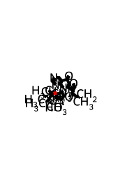 C=C(C)[C@@H](O)c1coc(C(=O)c2cncnc2N[C@@H]2C[C@H](CO)[C@@H](O[Si](C(C)C)(C(C)C)C(C)C)C2)c1